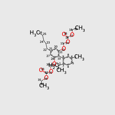 C=C(C)c1ccc(C)cc1-c1c(OCOC(=O)OCC)cc(CCCCC)cc1OCOC(=O)OCC